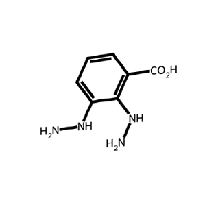 NNc1cccc(C(=O)O)c1NN